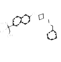 C[C@](N)(CO)c1ccc2cc(O[C@H]3C[C@@H](COCc4ccccc4)C3)ccc2c1